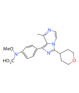 CON(C(=O)O)c1ccc(-c2nc(C3CCOCC3)n3ccnc(C)c23)cc1